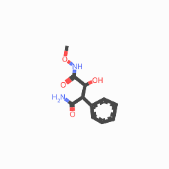 CONC(=O)C(O)C(C(N)=O)c1ccccc1